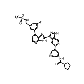 CS(=O)(=O)NCc1cc(F)cc(-c2ccnc3[nH]c(-c4n[nH]c5cnc(-c6cncc(NC(=O)C7CCCC7)c6)cc45)nc23)c1